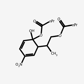 CCCC(=O)OCC(C)C1C=C([N+](=O)[O-])C=CC1(O)OC(=O)CCC